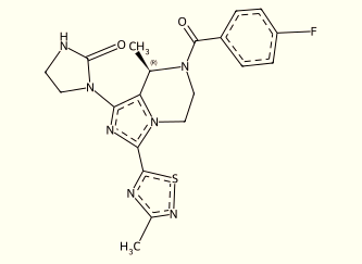 Cc1nsc(-c2nc(N3CCNC3=O)c3n2CCN(C(=O)c2ccc(F)cc2)[C@@H]3C)n1